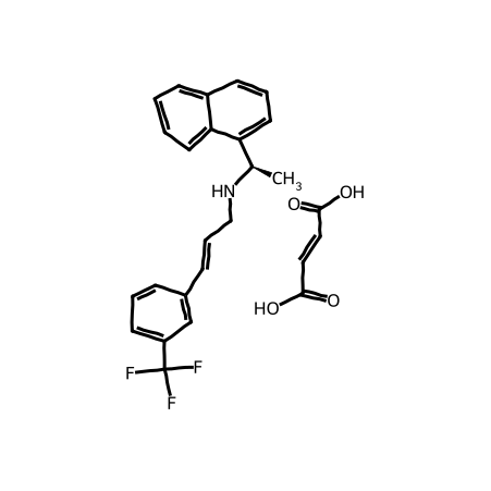 C[C@@H](NCC=Cc1cccc(C(F)(F)F)c1)c1cccc2ccccc12.O=C(O)/C=C/C(=O)O